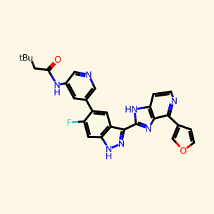 CC(C)(C)CC(=O)Nc1cncc(-c2cc3c(-c4nc5c(-c6ccoc6)nccc5[nH]4)n[nH]c3cc2F)c1